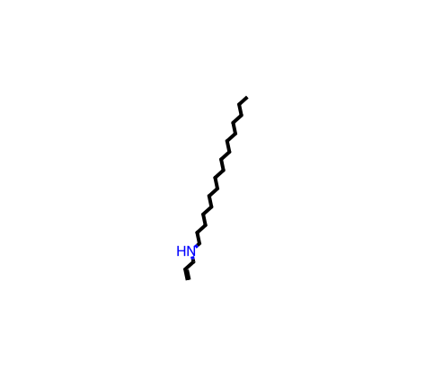 C=CCNCCCCCCCCCCCCCCCCC